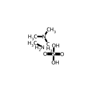 CN.CN(C)C.O=S(=O)(O)O